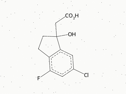 O=C(O)CC1(O)CCc2c(F)cc(Cl)cc21